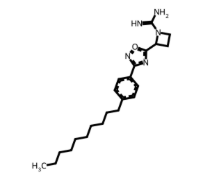 CCCCCCCCCCc1ccc(-c2noc(C3CCN3C(=N)N)n2)cc1